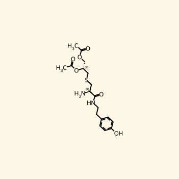 CC(=O)OC[C@H](CSC[C@H](N)C(=O)NCCc1ccc(O)cc1)OC(C)=O